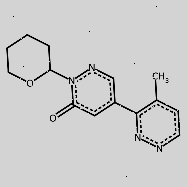 Cc1ccnnc1-c1cnn(C2CCCCO2)c(=O)c1